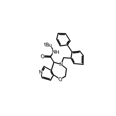 CC(C)(C)NC(=O)C1c2cnccc2OCCN1Cc1ccccc1-c1ccccc1